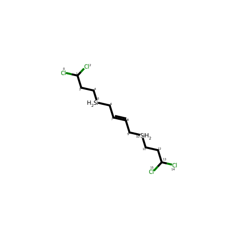 ClC(Cl)CC[SiH2]CC=CC[SiH2]CCC(Cl)Cl